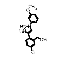 COc1cccc(N2C=C(c3ccc(Cl)cc3CO)NN2)c1